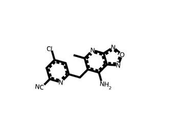 Cc1nc2nonc2c(N)c1Cc1cc(Cl)cc(C#N)n1